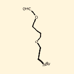 CCCCCCOCCOC=O